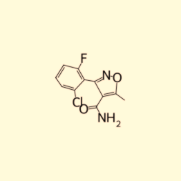 Cc1onc(-c2c(F)cccc2Cl)c1C(N)=O